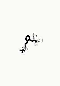 CC(C)(C)OC(=O)CCc1ccccc1C[C@H](N)C(=O)O